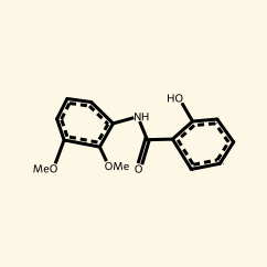 COc1cccc(NC(=O)c2c[c]ccc2O)c1OC